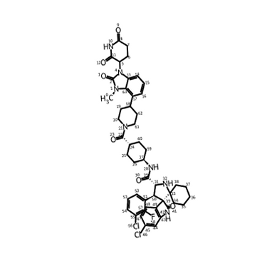 Cn1c(=O)n(C2CCC(=O)NC2=O)c2cccc(C3CCN(C(=O)[C@H]4CC[C@H](NC(=O)[C@@H]5NC6(CCCCC6)[C@@]6(C(=O)Nc7cc(Cl)ccc76)[C@H]5c5cccc(Cl)c5F)CC4)CC3)c21